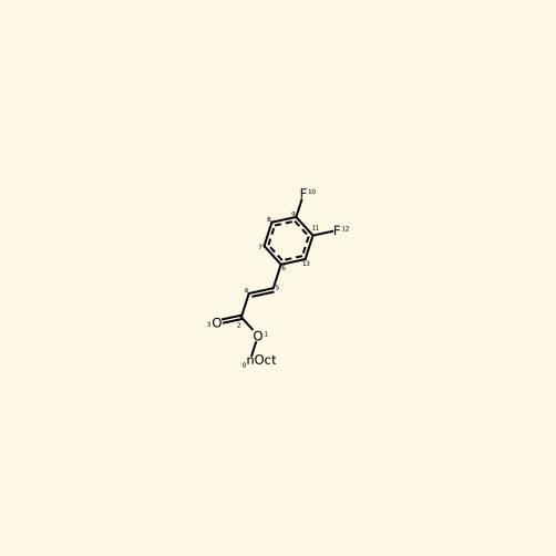 CCCCCCCCOC(=O)C=Cc1ccc(F)c(F)c1